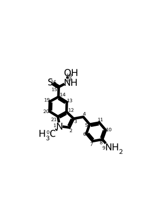 Cn1cc(Cc2ccc(N)cc2)c2cc(C(=S)NO)ccc21